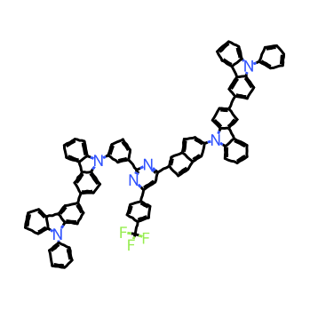 FC(F)(F)c1ccc(-c2cc(-c3ccc4cc(-n5c6ccccc6c6cc(-c7ccc8c(c7)c7ccccc7n8-c7ccccc7)ccc65)ccc4c3)nc(-c3cccc(-n4c5ccccc5c5cc(-c6ccc7c(c6)c6ccccc6n7-c6ccccc6)ccc54)c3)n2)cc1